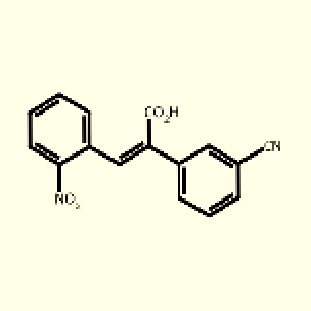 N#Cc1cccc(C(=Cc2ccccc2[N+](=O)[O-])C(=O)O)c1